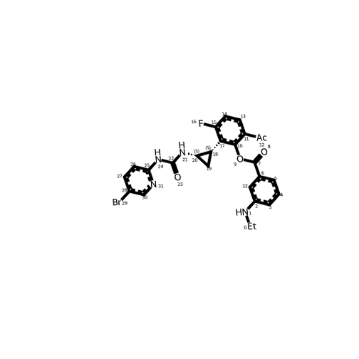 CCNc1cccc(C(=O)Oc2c(C(C)=O)ccc(F)c2[C@@H]2C[C@@H]2NC(=O)Nc2ccc(Br)cn2)c1